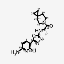 C[C@H](Nc1nnc(-c2ccc(N)nc2Cl)o1)C(=O)N1CCC2(CC1)CC2